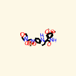 CCC(Nc1ccc(N(CC(=O)N2CCOCC2)S(C)(=O)=O)cc1)=C1C(=O)Nc2cc(OC)c(OC)cc21